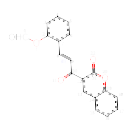 O=COc1ccccc1/C=C/C(=O)c1cc2ccccc2oc1=O